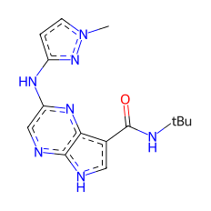 Cn1ccc(Nc2cnc3[nH]cc(C(=O)NC(C)(C)C)c3n2)n1